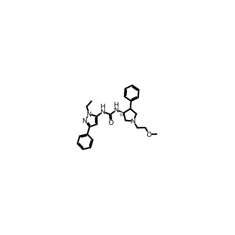 CCn1nc(-c2ccccc2)cc1NC(=O)N[C@@H]1CN(CCOC)CC1c1ccccc1